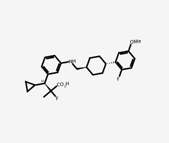 COc1ccc(F)c([C@H]2CC[C@H](CNc3cccc([C@H](C4CC4)C(C)(F)C(=O)O)c3)CC2)c1